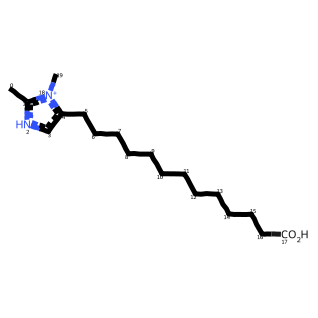 Cc1[nH]cc(CCCCCCCCCCCCC(=O)O)[n+]1C